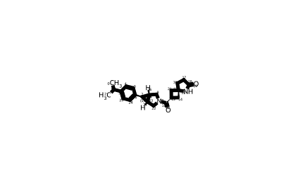 CC(C)c1ccc([C@H]2[C@@H]3CN(C(=O)[C@H]4C[C@]5(CCC(=O)N5)C4)C[C@@H]32)cc1